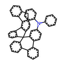 c1ccc(N(c2ccccc2)c2ccc3c(c2)C2(c4ccccc4-c4ccccc4-3)c3ccccc3-c3c2ccc2c3-c3ccccc3C2)cc1